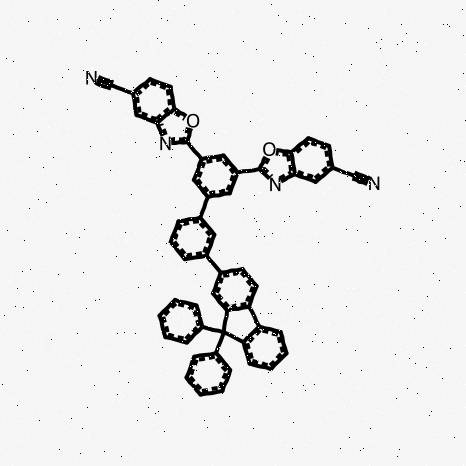 N#Cc1ccc2oc(-c3cc(-c4cccc(-c5ccc6c(c5)C(c5ccccc5)(c5ccccc5)c5ccccc5-6)c4)cc(-c4nc5cc(C#N)ccc5o4)c3)nc2c1